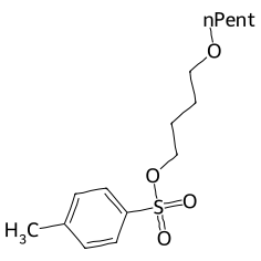 CCCCCOCCCCOS(=O)(=O)c1ccc(C)cc1